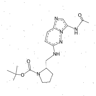 CC(=O)Nc1cnc2ccc(NC[C@@H]3CCCN3C(=O)OC(C)(C)C)nn12